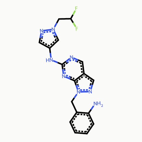 Nc1ccccc1Cn1ncc2cnc(Nc3cnn(CC(F)F)c3)nc21